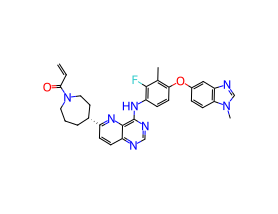 C=CC(=O)N1CCC[C@@H](c2ccc3ncnc(Nc4ccc(Oc5ccc6c(c5)ncn6C)c(C)c4F)c3n2)CC1